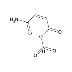 NC(=O)/C=C\C(=O)O[SH](=O)=O